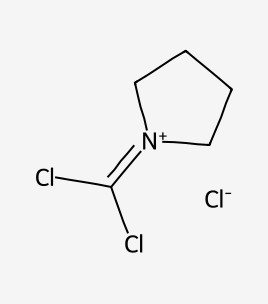 ClC(Cl)=[N+]1CCCC1.[Cl-]